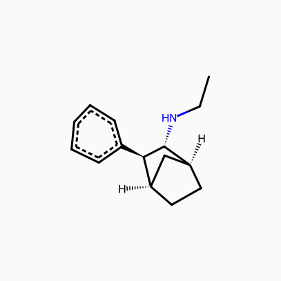 CCN[C@@H]1[C@H]2CC[C@H](C2)[C@H]1c1ccccc1